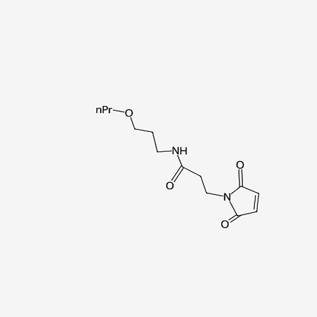 CCCOCCCNC(=O)CCN1C(=O)C=CC1=O